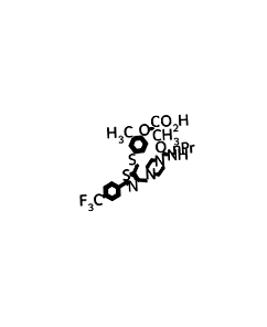 CCCNC(=O)N1CCN(Cc2nc(-c3ccc(C(F)(F)F)cc3)sc2CSc2ccc(OC(C)C(=O)O)c(C)c2)CC1